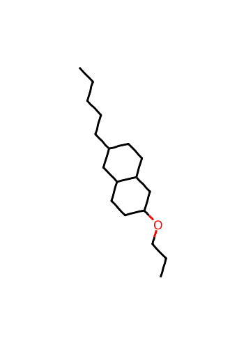 CCCCCC1CCC2CC(OCCC)CCC2C1